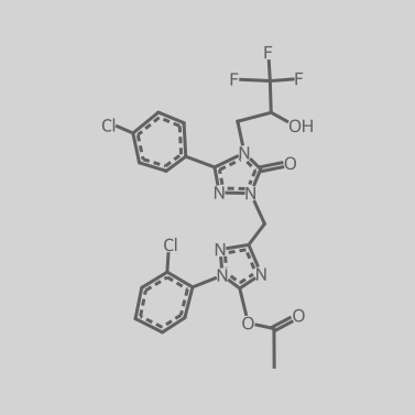 CC(=O)Oc1nc(Cn2nc(-c3ccc(Cl)cc3)n(CC(O)C(F)(F)F)c2=O)nn1-c1ccccc1Cl